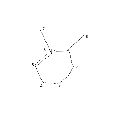 CC1CCCC=[N+]1C